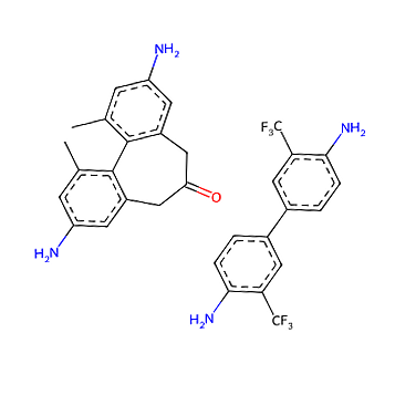 Cc1cc(N)cc2c1-c1c(C)cc(N)cc1CC(=O)C2.Nc1ccc(-c2ccc(N)c(C(F)(F)F)c2)cc1C(F)(F)F